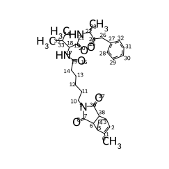 CC1=CC2CC1C1C(=O)N(CCCCCC(=O)NC(C(=O)N[C@@H](C)C(=O)Cc3ccccc3)C(C)C)C(=O)C21